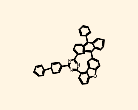 C1=CC(c2ccccc2)CC=C1c1nc(-c2ccccc2)nc(-c2cccc3oc4ccc(-c5ccc(-c6ccccc6)c6ccccc56)cc4c23)n1